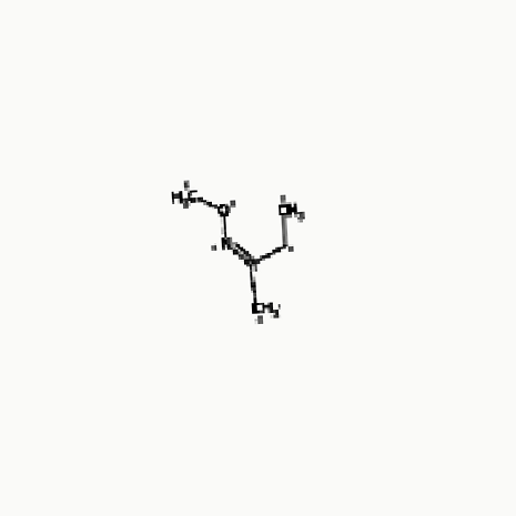 [CH2]C(CC)=NOC